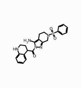 Nc1c2c(nn1C(=O)C1CCNc3ccccc31)CN(S(=O)(=O)c1ccccc1)CC2